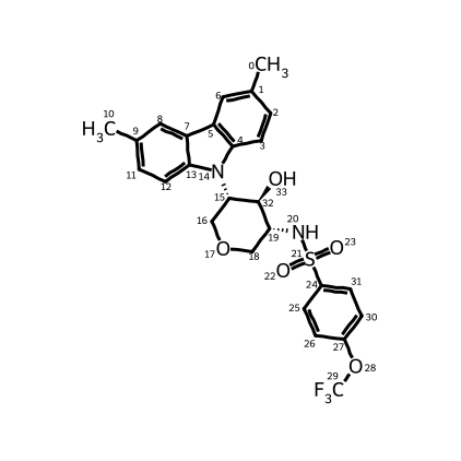 Cc1ccc2c(c1)c1cc(C)ccc1n2[C@H]1COC[C@@H](NS(=O)(=O)c2ccc(OC(F)(F)F)cc2)[C@@H]1O